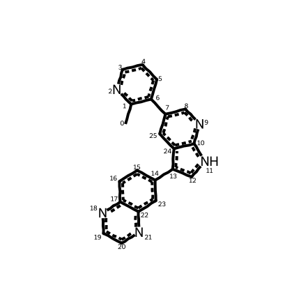 Cc1ncccc1-c1cnc2[nH]cc(-c3ccc4nccnc4c3)c2c1